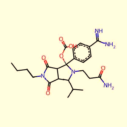 CCCCN1C(=O)C2C(C(C)C)N(CCC(N)=O)C(OC(=O)O)(c3ccc(C(=N)N)cc3)C2C1=O